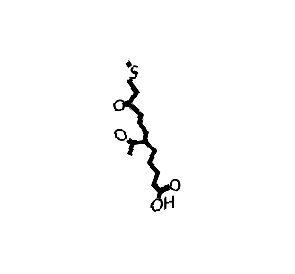 CSCCC(=O)CCCC(CCCCC(=O)O)C(C)=O